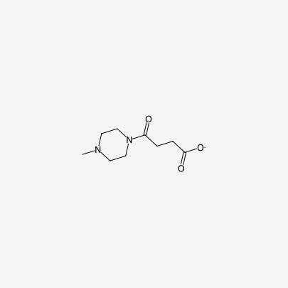 CN1CCN(C(=O)CCC([O])=O)CC1